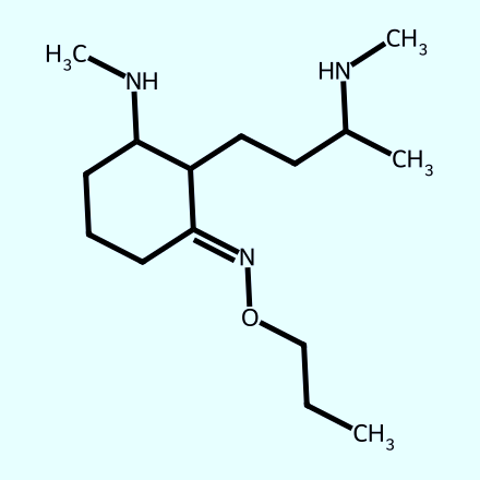 CCCON=C1CCCC(NC)C1CCC(C)NC